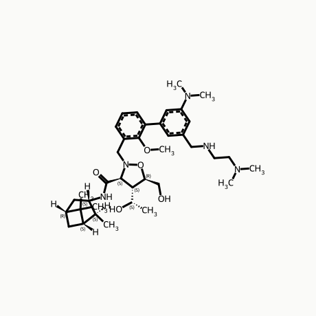 COc1c(CN2O[C@@H](CO)[C@H]([C@H](C)O)[C@H]2C(=O)N[C@H]2C[C@H]3C[C@@H]([C@@H]2C)C3(C)C)cccc1-c1cc(CNCCN(C)C)cc(N(C)C)c1